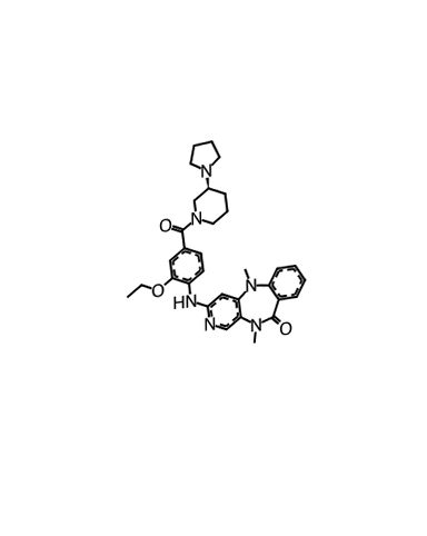 CCOc1cc(C(=O)N2CCC[C@H](N3CCCC3)C2)ccc1Nc1cc2c(cn1)N(C)C(=O)c1ccccc1N2C